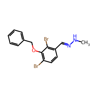 CN/N=C/c1ccc(Br)c(OCc2ccccc2)c1Br